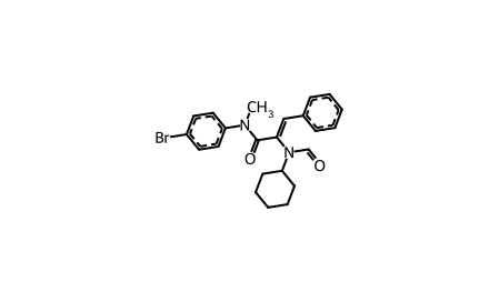 CN(C(=O)/C(=C/c1ccccc1)N(C=O)C1CCCCC1)c1ccc(Br)cc1